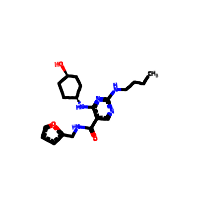 CCCCNc1ncc(C(=O)NCc2ccco2)c(N[C@H]2CC[C@H](O)CC2)n1